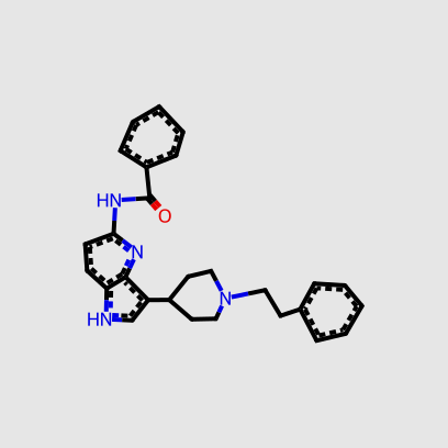 O=C(Nc1ccc2[nH]cc(C3CCN(CCc4ccccc4)CC3)c2n1)c1ccccc1